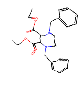 CCOC(=O)C1C(C(=O)OCC)N(Cc2ccccc2)CCN1Cc1ccccc1